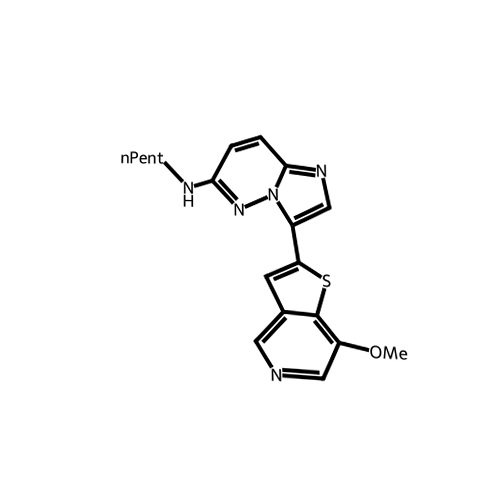 CCCCCNc1ccc2ncc(-c3cc4cncc(OC)c4s3)n2n1